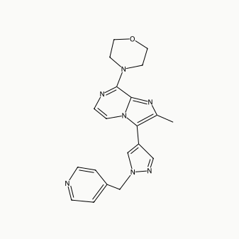 Cc1nc2c(N3CCOCC3)nccn2c1-c1cnn(Cc2ccncc2)c1